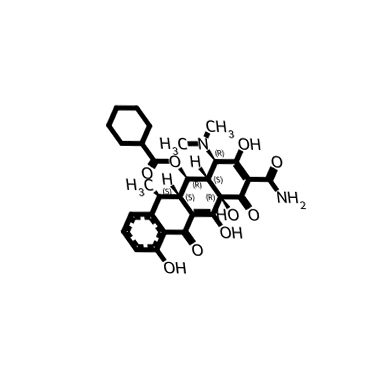 C[C@@H]1c2cccc(O)c2C(=O)C2=C(O)[C@@]3(O)C(=O)C(C(N)=O)=C(O)[C@H](N(C)C)[C@H]3[C@H](OC(=O)C3CCCCC3)[C@H]21